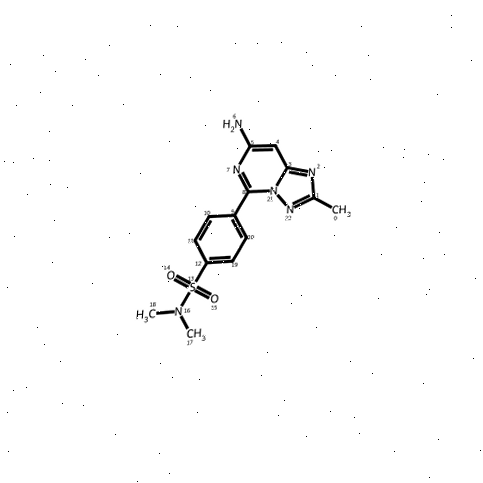 Cc1nc2cc(N)nc(-c3ccc(S(=O)(=O)N(C)C)cc3)n2n1